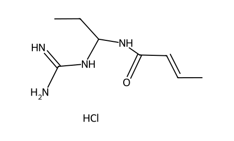 CC=CC(=O)NC(CC)NC(=N)N.Cl